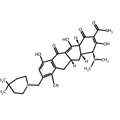 CN(C)[C@@H]1C(O)=C(C(N)=O)C(=O)[C@H]2C(O)=C3C(=O)c4c(O)cc(CN5CCC(C)(C)CC5)c(C#N)c4C[C@H]3C[C@H]21